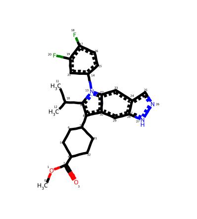 COC(=O)C1CCC(c2c(C(C)C)n(-c3ccc(F)c(F)c3)c3cc4cn[nH]c4cc23)CC1